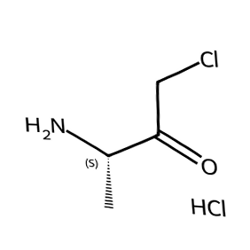 C[C@H](N)C(=O)CCl.Cl